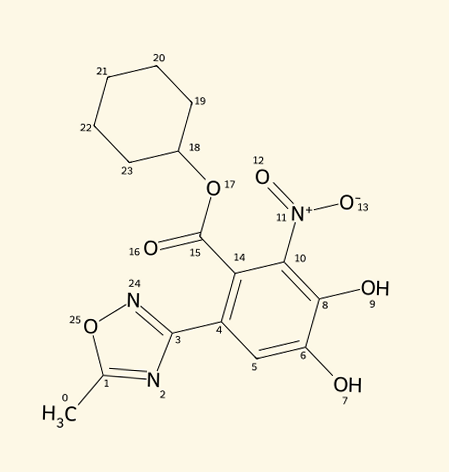 Cc1nc(-c2cc(O)c(O)c([N+](=O)[O-])c2C(=O)OC2CCCCC2)no1